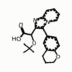 CC(C)(C)OC(C(=O)O)c1nc2ccccn2c1-c1ccc2c(c1)CCCO2